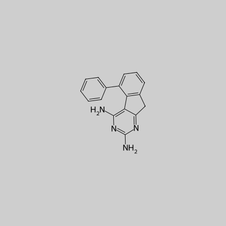 Nc1nc(N)c2c(n1)Cc1cccc(-c3ccccc3)c1-2